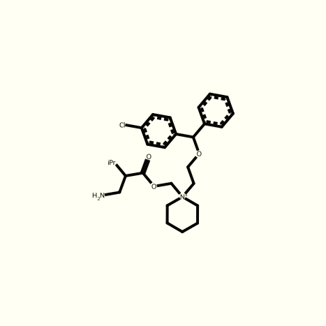 CC(C)C(CN)C(=O)OC[N+]1(CCOC(c2ccccc2)c2ccc(Cl)cc2)CCCCC1